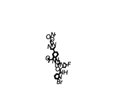 CC(=O)c1nn(CC(=O)N2C[C@H](F)C[C@H]2C(=O)Nc2cccc(Br)n2)c2ccc(-c3cnc(COC(=O)N(C)C)nc3)cc12